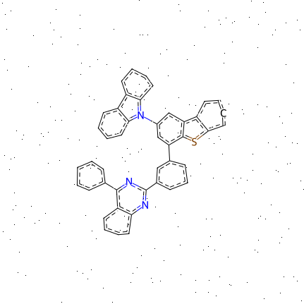 c1ccc(-c2nc(-c3cccc(-c4cc(-n5c6ccccc6c6ccccc65)cc5c4sc4ccccc45)c3)nc3ccccc23)cc1